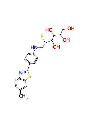 Cc1ccc2nc(-c3ccc(NCC(F)C(O)C(O)C(O)CO)cc3)sc2c1